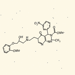 COC(=O)N1C(C)NC2=C(C(=O)C(CCNCC(O)COc3ccccc3OC)C=N2)C1c1cccc([N+](=O)[O-])c1